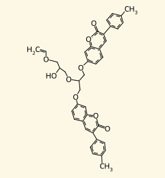 C=COCC(O)COC(COc1ccc2cc(-c3ccc(C)cc3)c(=O)oc2c1)COc1ccc2cc(-c3ccc(C)cc3)c(=O)oc2c1